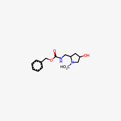 O=C(NCC1CC(O)CN1C(=O)O)OCc1ccccc1